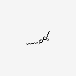 CCCCCCCCCOc1ccc(C2=CC(=O)C(CCCCC)CC2)cc1